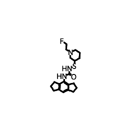 O=C(NSC1CCCN(CCF)C1)Nc1c2c(cc3c1CCC3)CCC2